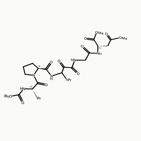 CCCC(NC(=O)[C@@H]1CCCN1C(=O)[C@@H](NC(=O)OCC(C)C)C(C)C)C(=O)C(=O)NCC(=O)N[C@@H](CC(=O)OC)C(=O)OC